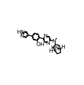 CN(c1cnc(-c2ccc(-c3cn[nH]c3)cc2O)cn1)C1C[C@H]2CC[C@@H](C1)N2